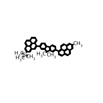 Cc1cc2ccc3ccc(-c4ccc5c(c4)C(C)(C)c4cc(-c6cc7cc([Si](C)(C)C)cc8ccc9cccc6c9c87)ccc4-5)c4ccc(c1)c2c34